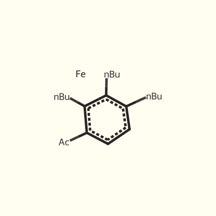 CCCCc1ccc(C(C)=O)c(CCCC)c1CCCC.[Fe]